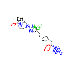 CC(=O)N1CCN(c2ncc(CCc3ccc(CC(=O)NN)cc3)cn2)CC1.Cl.Cl